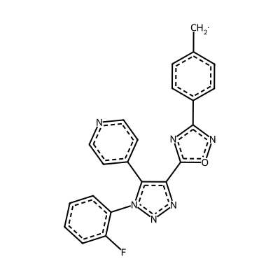 [CH2]c1ccc(-c2noc(-c3nnn(-c4ccccc4F)c3-c3ccncc3)n2)cc1